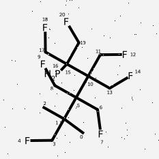 CC(C)(CF)C(CF)(CF)C(CF)(CF)C(P)(CF)CF